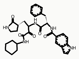 O=C(NC1CCCCC1)C(=O)C(C[C@@H]1CCNC1=O)NC(=O)[C@H](Cc1ccccc1)NC(=O)c1ccc2[nH]ccc2c1